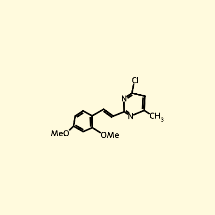 COc1ccc(C=Cc2nc(C)cc(Cl)n2)c(OC)c1